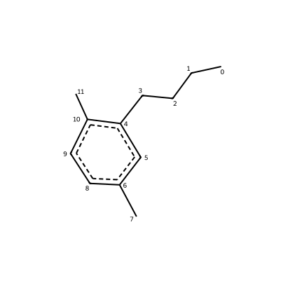 CCCCc1cc(C)ccc1C